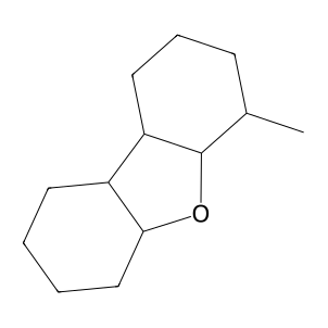 CC1CCCC2C3CCCCC3OC12